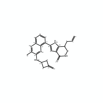 C=CCC1CNC(=O)c2cc(-c3cccc4nc(C)c(NC5CC(=C)C5)nc34)[nH]c21